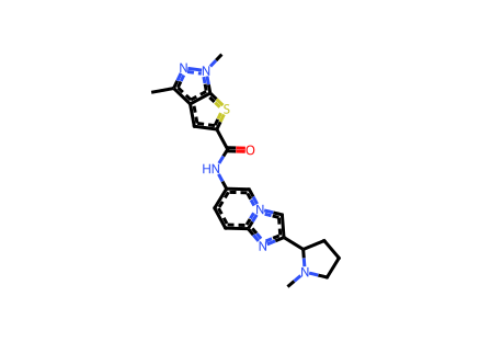 Cc1nn(C)c2sc(C(=O)Nc3ccc4nc(C5CCCN5C)cn4c3)cc12